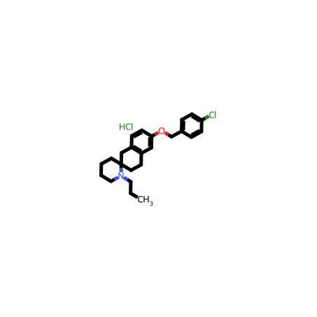 CCCN1CCCCC12CCc1cc(OCc3ccc(Cl)cc3)ccc1C2.Cl